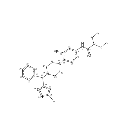 CCC(CC)C(=O)Nc1ccc(N2CCN(C(c3ccccc3)c3nc(C)no3)CC2)c(F)c1